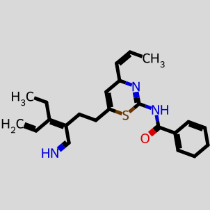 C=C/C(CC)=C(\C=N)CCC1=CC(/C=C\C)N=C(NC(=O)C2=CCCC=C2)S1